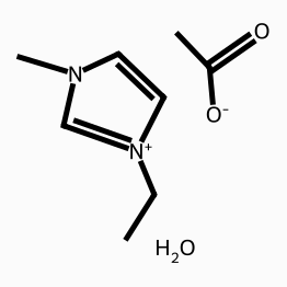 CC(=O)[O-].CC[n+]1ccn(C)c1.O